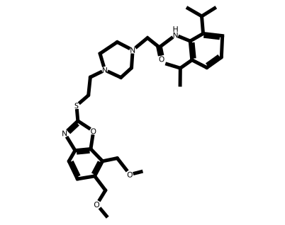 COCc1ccc2nc(SCCN3CCN(CC(=O)Nc4c(C(C)C)cccc4C(C)C)CC3)oc2c1COC